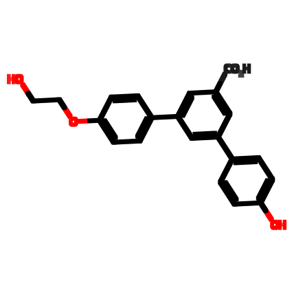 O=C(O)c1cc(-c2ccc(O)cc2)cc(-c2ccc(OCCO)cc2)c1